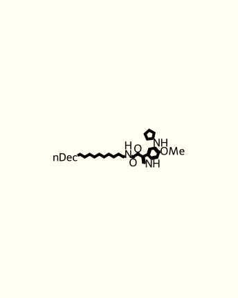 CCCCCCCCCCCCCCCCCCCCNC(=O)C(=O)c1c[nH]c2cc(OC)c(NC3CCCC3)cc12